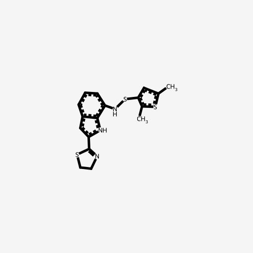 Cc1cc(SNc2cccc3cc(C4=NCCS4)[nH]c23)c(C)s1